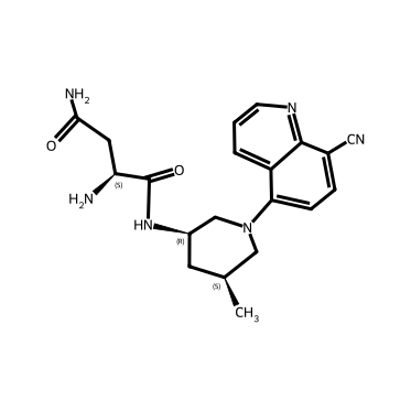 C[C@H]1C[C@@H](NC(=O)[C@@H](N)CC(N)=O)CN(c2ccc(C#N)c3ncccc23)C1